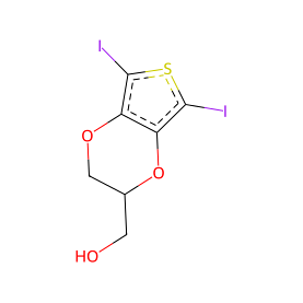 OCC1COc2c(I)sc(I)c2O1